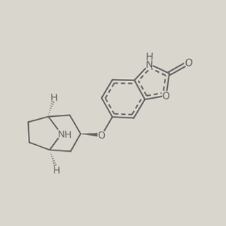 O=c1[nH]c2ccc(O[C@H]3C[C@H]4CC[C@@H](C3)N4)cc2o1